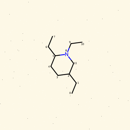 CCC1CCC(CC)N(CC)C1